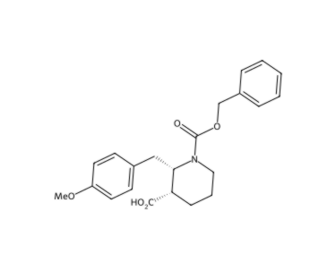 COc1ccc(C[C@H]2[C@@H](C(=O)O)CCCN2C(=O)OCc2ccccc2)cc1